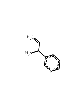 C=CC(N)c1cccnc1